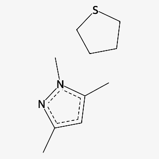 C1CCSC1.Cc1cc(C)n(C)n1